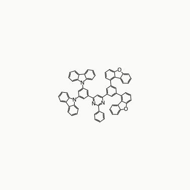 c1ccc(-c2nc(-c3cc(-c4cccc5oc6ccccc6c45)cc(-c4cccc5oc6ccccc6c45)c3)cc(-c3cc(-n4c5ccccc5c5ccccc54)cc(-n4c5ccccc5c5ccccc54)c3)n2)cc1